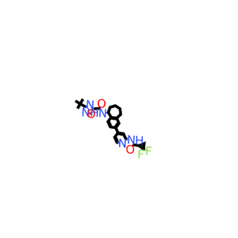 CC(C)(C)c1noc(C(=O)N[C@H]2CCCCc3cc(-c4ccnc(NC(=O)C5CC5(F)F)c4)ccc32)n1